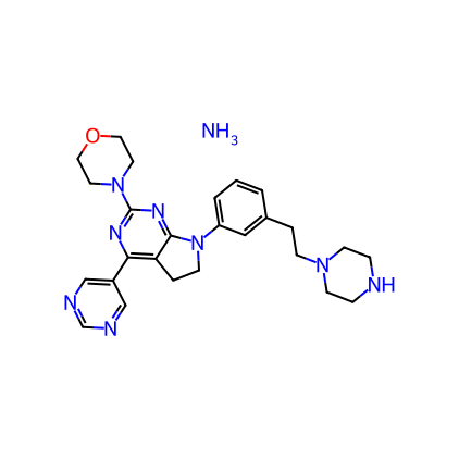 N.c1cc(CCN2CCNCC2)cc(N2CCc3c(-c4cncnc4)nc(N4CCOCC4)nc32)c1